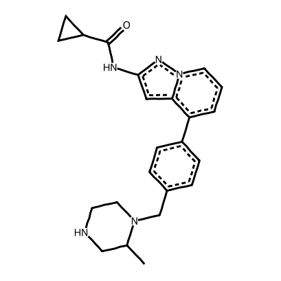 CC1CNCCN1Cc1ccc(-c2cccn3nc(NC(=O)C4CC4)cc23)cc1